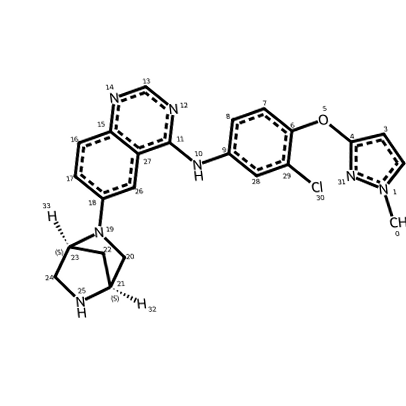 Cn1ccc(Oc2ccc(Nc3ncnc4ccc(N5C[C@@H]6C[C@H]5CN6)cc34)cc2Cl)n1